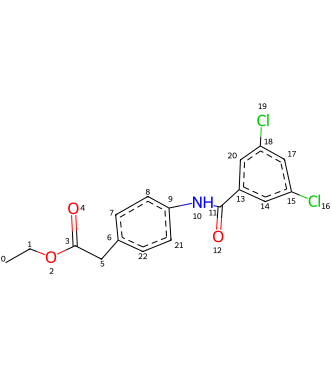 CCOC(=O)Cc1ccc(NC(=O)c2cc(Cl)cc(Cl)c2)cc1